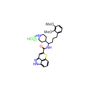 COc1cccc(CCCC(NC(=O)C2=Cc3n[nH]c4cccc(c34)S2)C2CCNCC2)c1OC.Cl.Cl